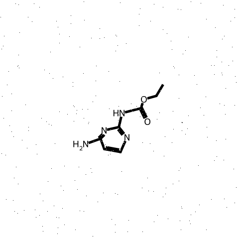 CCOC(=O)Nc1nccc(N)n1